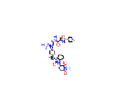 C/C(=C\N(N)C1CCC(Bn2c(=O)n(C3CCC(=O)NC3=O)c3ccccc32)CC1)NC(=O)c1coc(-c2ccncc2)n1